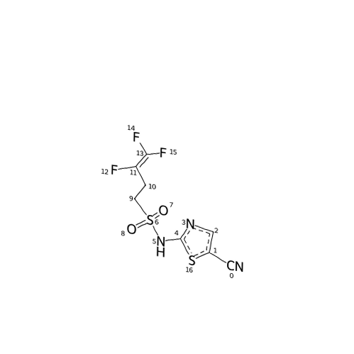 N#Cc1cnc(NS(=O)(=O)CCC(F)=C(F)F)s1